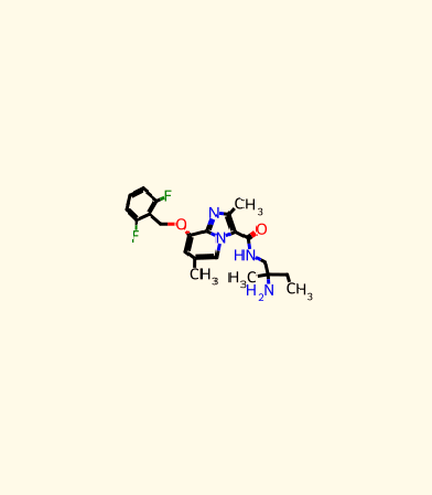 CCC(C)(N)CNC(=O)c1c(C)nc2c(OCc3c(F)cccc3F)cc(C)cn12